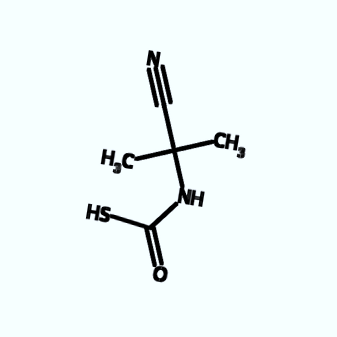 CC(C)(C#N)NC(=O)S